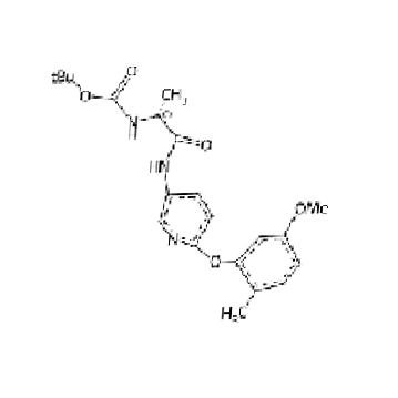 COc1ccc(C)c(Oc2ccc(NC(=O)[C@@H](C)NC(=O)OC(C)(C)C)cn2)c1